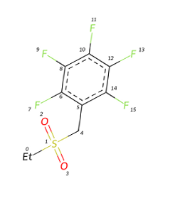 CCS(=O)(=O)Cc1c(F)c(F)c(F)c(F)c1F